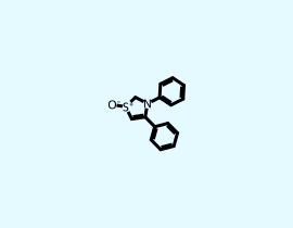 [O-][S+]1C=C(c2ccccc2)N(c2ccccc2)C1